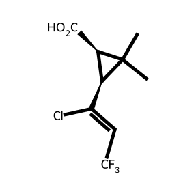 CC1(C)[C@H](C(=O)O)[C@@H]1/C(Cl)=C/C(F)(F)F